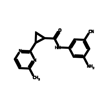 Cc1ccnc(C2CC2C(=O)Nc2cc(N)cc(C#N)c2)n1